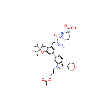 CC(=O)OCCCn1cc(C2=CCOCC2)c2ccc(-c3cc(CC(N)C(=O)N4CCC[C@@H](C(=O)O)N4)cc(O[Si](C(C)C)(C(C)C)C(C)C)c3)cc21